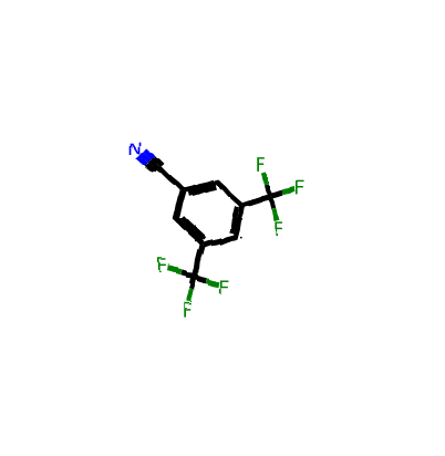 N#Cc1cc(C(F)(F)F)[c]c(C(F)(F)F)c1